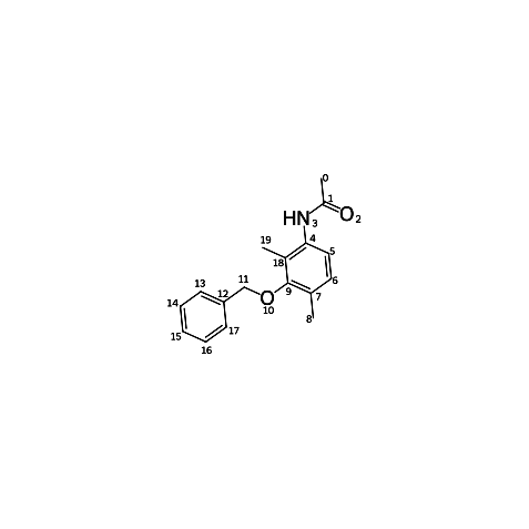 CC(=O)Nc1ccc(C)c(OCc2ccccc2)c1C